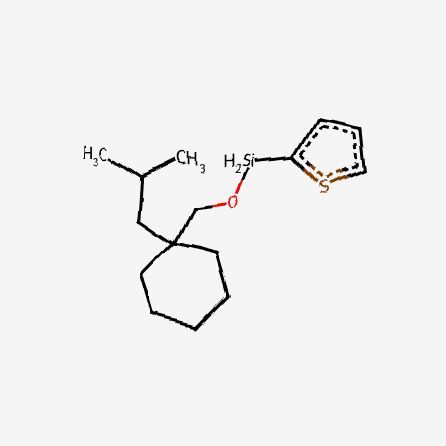 CC(C)CC1(CO[SiH2]c2cccs2)CCCCC1